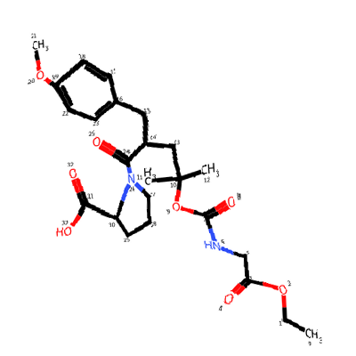 CCOC(=O)CNC(=O)OC(C)(C)CC(Cc1ccc(OC)cc1)C(=O)N1CCCC1C(=O)O